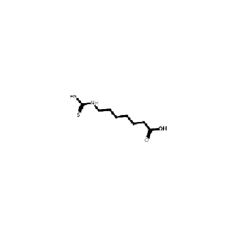 O=C(O)CCCCCCNC(=S)S